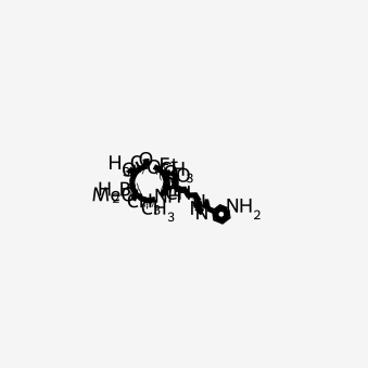 B[C@@H]1CC(=O)[C@@H](C)C(=O)O[C@H](CC)[C@@]2(C)OC(=O)N(CCCCn3cc(-c4cccc(N)c4)nn3)[C@@H]2[C@@H](C)NC[C@H](C)C[C@@]1(C)OC